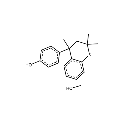 CC1(C)CC(C)(c2ccc(O)cc2)c2ccccc2S1.CO